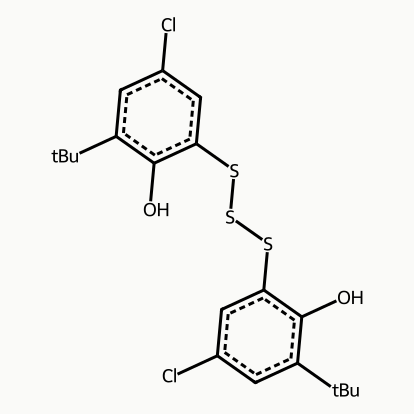 CC(C)(C)c1cc(Cl)cc(SSSc2cc(Cl)cc(C(C)(C)C)c2O)c1O